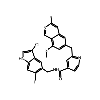 CSc1cc(Cc2cc(C(=O)NCc3cc4c(Cl)c[nH]c4cc3F)ccn2)cc2cc(C)ncc12